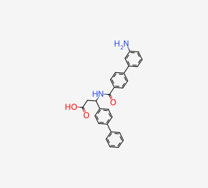 Nc1cccc(-c2ccc(C(=O)NC(CC(=O)O)c3ccc(-c4ccccc4)cc3)cc2)c1